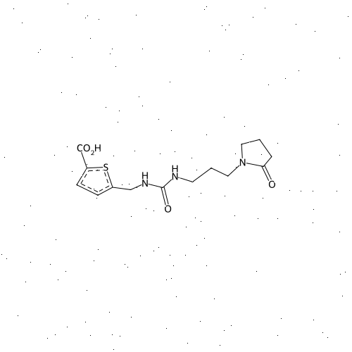 O=C(NCCCN1CCCC1=O)NCc1ccc(C(=O)O)s1